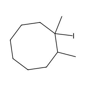 CC1CCCCCCC1(C)I